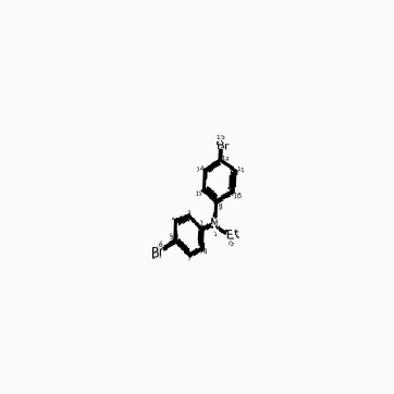 CCN(c1ccc(Br)cc1)c1ccc(Br)cc1